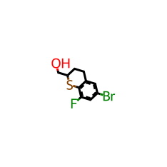 OCC1CCc2cc(Br)cc(F)c2S1